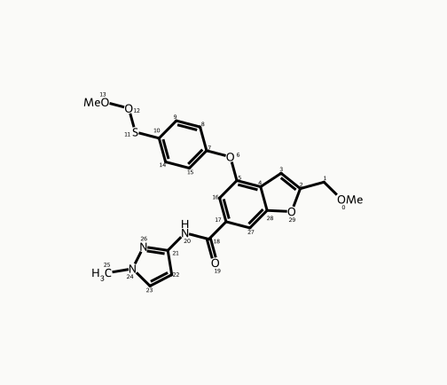 COCc1cc2c(Oc3ccc(SOOC)cc3)cc(C(=O)Nc3ccn(C)n3)cc2o1